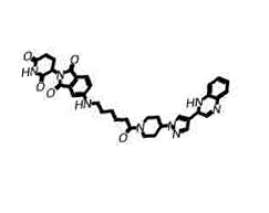 O=C1CCC(N2C(=O)c3ccc(NCCCCCC(=O)N4CCC(n5cc(C6C=Nc7ccccc7N6)cn5)CC4)cc3C2=O)C(=O)N1